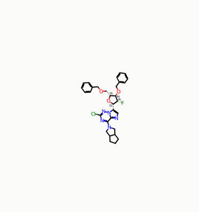 F[C@H]1[C@H](OCc2ccccc2)[C@@H](COCc2ccccc2)O[C@H]1c1cnc2c(N3CC4CCCC4C3)nc(Cl)nn12